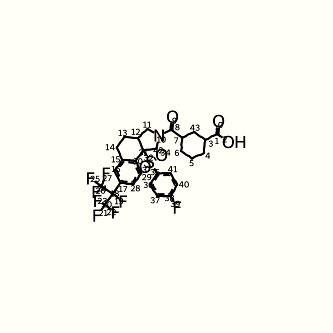 O=C(O)C1CCCC(C(=O)N2CC3CCc4cc(C(F)(C(F)(F)F)C(F)(F)F)ccc4C3(S(=O)(=O)c3ccc(F)cc3)C2)C1